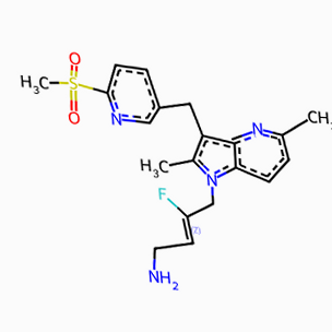 Cc1ccc2c(n1)c(Cc1ccc(S(C)(=O)=O)nc1)c(C)n2C/C(F)=C/CN